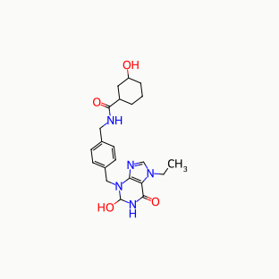 CCn1cnc2c1C(=O)NC(O)N2Cc1ccc(CNC(=O)C2CCCC(O)C2)cc1